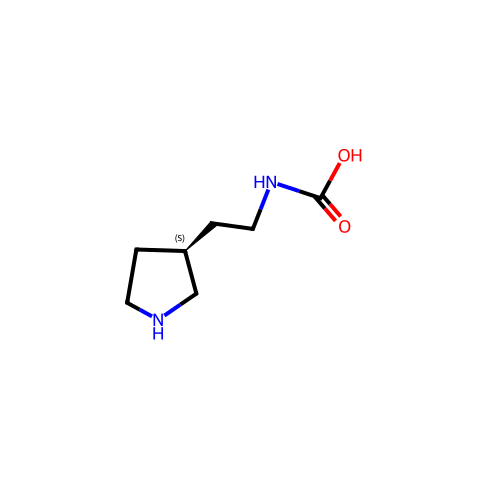 O=C(O)NCC[C@@H]1CCNC1